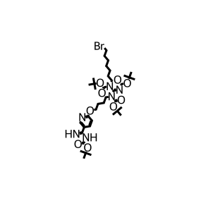 CC(C)(C)OC(=O)N=C(N(CCCCCCCBr)C(=O)OC(C)(C)C)N(CCCCOc1ccc(C(=N)NC(=O)OC(C)(C)C)cn1)C(=O)OC(C)(C)C